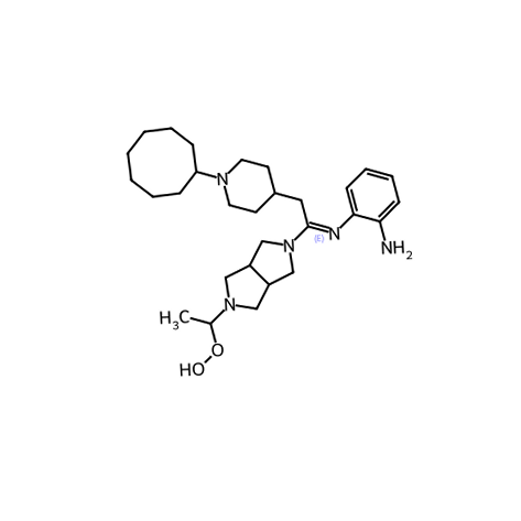 CC(OO)N1CC2CN(/C(CC3CCN(C4CCCCCCC4)CC3)=N/c3ccccc3N)CC2C1